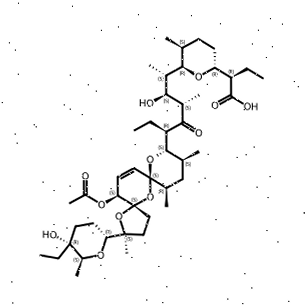 CC[C@@H](C(=O)[C@@H](C)[C@@H](O)[C@H](C)[C@@H]1O[C@@H]([C@@H](CC)C(=O)O)CC[C@@H]1C)[C@H]1O[C@@]2(C=C[C@H](OC(C)=O)[C@]3(CC[C@@](C)([C@H]4CC[C@](O)(CC)[C@H](C)O4)O3)O2)[C@H](C)C[C@@H]1C